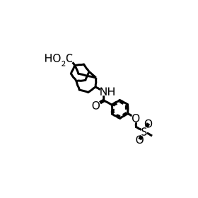 CS(=O)(=O)COc1ccc(C(=O)NC2CCC3CC4CC(C(=O)O)(C3)CC42)cc1